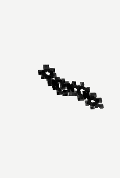 Cc1ccc(N2CCC(CN3CCC4(CCN(Cc5ccccc5)CC4)C3)CC2)cc1